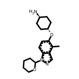 Cc1c(O[C@H]2CC[C@H](N)CC2)ccc2c1cnn2C1CCCCO1